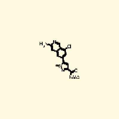 CNC(=O)c1cc(-c2cc(Cl)c3cnc(N)cc3c2)n(C)n1